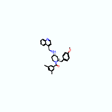 COc1ccc(C[C@@H]2C[C@@H](NCc3ccnc4ccccc34)CCN2C(=O)c2cc(C)cc(C)c2)cc1